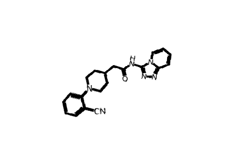 N#Cc1ccccc1N1CCC(CC(=O)Nc2nnc3ccccn23)CC1